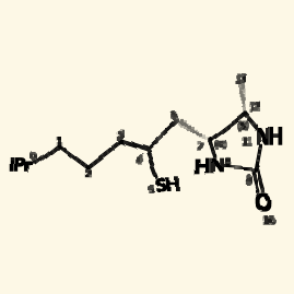 CC(C)CCCC(S)C[C@H]1NC(=O)N[C@H]1C